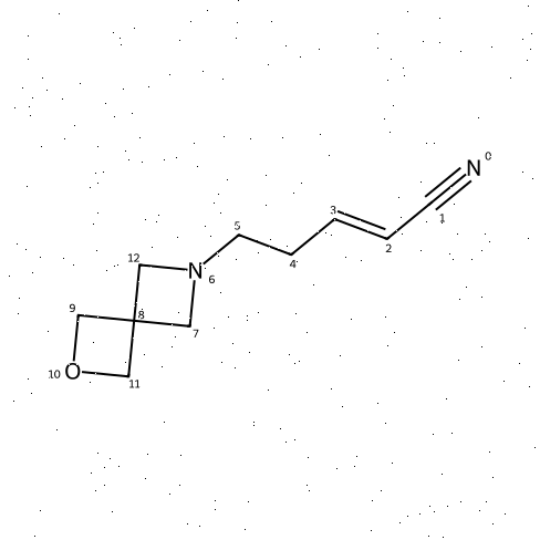 N#CC=CCCN1CC2(COC2)C1